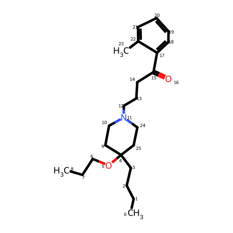 CCCCC1(OCCC)CCN(CCCC(=O)c2ccccc2C)CC1